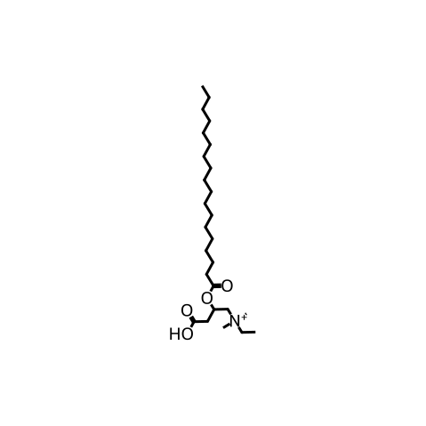 CCCCCCCCCCCCCCCCCC(=O)OC(CC(=O)O)C[N+](C)(C)CC